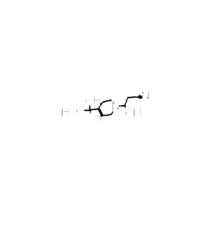 CC(CC#N)N1CC=C(C(C)(C)C)CC1